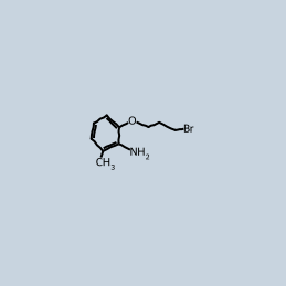 Cc1cccc(OCCCBr)c1N